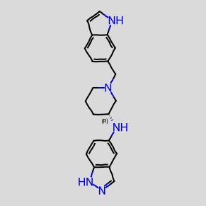 c1cc2ccc(CN3CCC[C@@H](Nc4ccc5[nH]ncc5c4)C3)cc2[nH]1